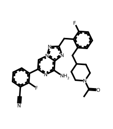 CC(=O)N1CCC(Cc2cccc(F)c2Cc2nc3c(N)nc(-c4cccc(C#N)c4F)cn3n2)CC1